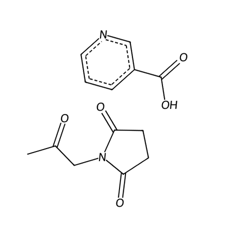 CC(=O)CN1C(=O)CCC1=O.O=C(O)c1cccnc1